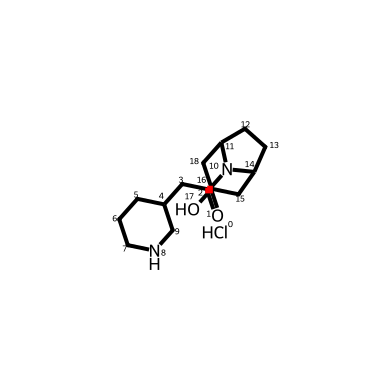 Cl.O=C(CC1CCCNC1)N1C2CCC1CC(O)C2